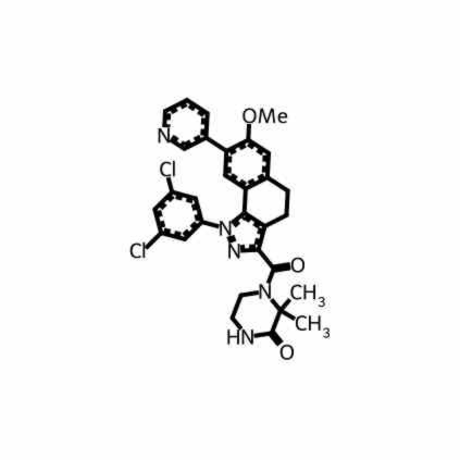 COc1cc2c(cc1-c1cccnc1)-c1c(c(C(=O)N3CCNC(=O)C3(C)C)nn1-c1cc(Cl)cc(Cl)c1)CC2